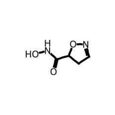 O=C(NO)C1CC=NO1